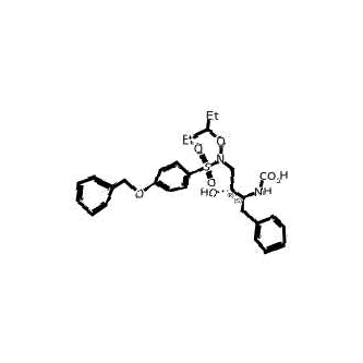 CCC(CC)ON(C[C@@H](O)[C@H](Cc1ccccc1)NC(=O)O)S(=O)(=O)c1ccc(OCc2ccccc2)cc1